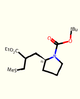 CCOC(=O)C(CSC)C[C@@H]1CCCN1C(=O)OC(C)(C)C